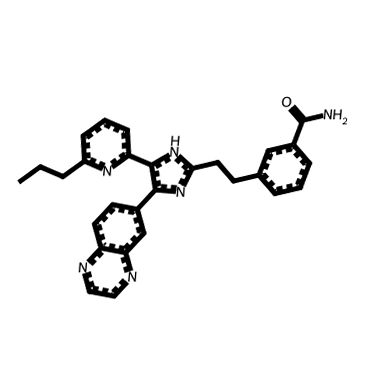 CCCc1cccc(-c2[nH]c(CCc3cccc(C(N)=O)c3)nc2-c2ccc3nccnc3c2)n1